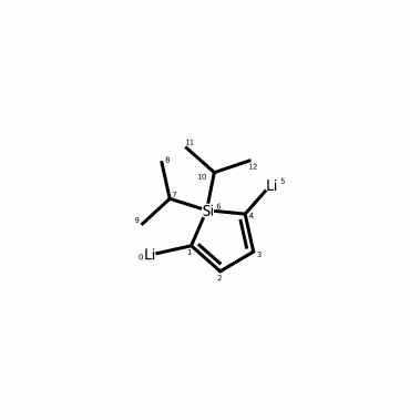 [Li][C]1=CC=[C]([Li])[Si]1(C(C)C)C(C)C